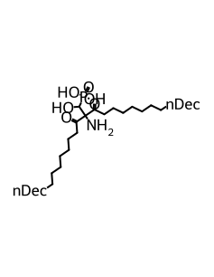 CCCCCCCCCCCCCCCCCC(=O)C(N)(C(=O)CCCCCCCCCCCCCCCCC)C(O)P(=O)(O)O